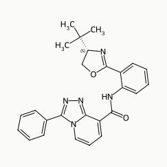 CC(C)(C)[C@H]1COC(c2ccccc2NC(=O)c2cccn3c(-c4ccccc4)nnc23)=N1